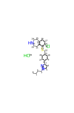 CCCCn1ccc(-c2ccc(CSc3c(Cl)ccc4c3CCNCC4)cc2)n1.Cl